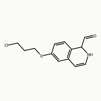 O=CC1NC=Cc2cc(OCCCCl)ccc21